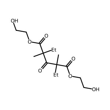 CCC(C)(C(=O)OCCO)C(=O)C(C)(CC)C(=O)OCCO